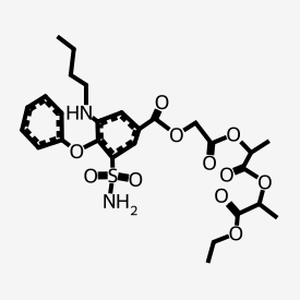 CCCCNc1cc(C(=O)OCC(=O)OC(C)C(=O)OC(C)C(=O)OCC)cc(S(N)(=O)=O)c1Oc1ccccc1